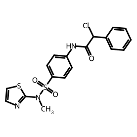 CN(c1nccs1)S(=O)(=O)c1ccc(NC(=O)C(Cl)c2ccccc2)cc1